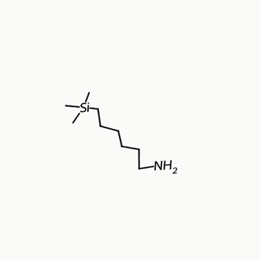 C[Si](C)(C)CCCCCCN